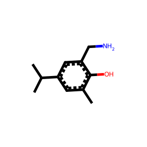 Cc1cc(C(C)C)cc(CN)c1O